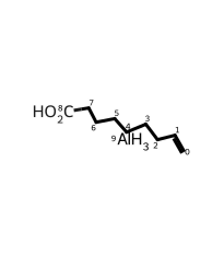 C=CCCCCCCC(=O)O.[AlH3]